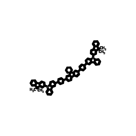 CC1(C)c2ccccc2-c2ccc(-n3c4ccccc4c4cc(-c5ccc(-c6ccc7c(c6)C6(CCCCC6)c6cc(-c8ccc(-c9ccc%10c(c9)c9ccccc9n%10-c9ccc%10c(c9)C(C)(C)c9ccccc9-%10)cc8)ccc6-7)cc5)ccc43)cc21